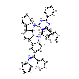 c1ccc(-c2nc(-c3ccccc3)nc(-n3c4ccccc4c4ccc5c6cc(-c7nc8ccccc8c8ccccc78)ccc6n(-c6ccccc6)c5c43)n2)cc1